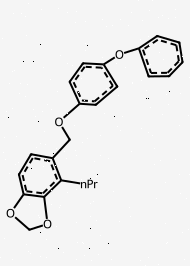 CCCc1c(COc2ccc(Oc3ccccc3)cc2)ccc2c1OCO2